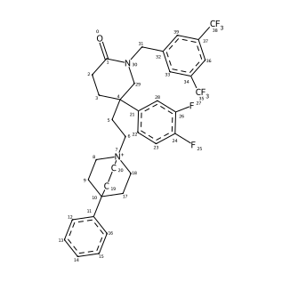 O=C1CCC(CC[N+]23CCC(c4ccccc4)(CC2)CC3)(c2ccc(F)c(F)c2)CN1Cc1cc(C(F)(F)F)cc(C(F)(F)F)c1